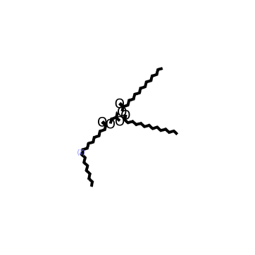 CCCCCCCC/C=C\CCCCCCCC(=O)OCC(COC(=O)CCCCCCCCCCCCC)OC(=O)CCCCCCCCCCCCC